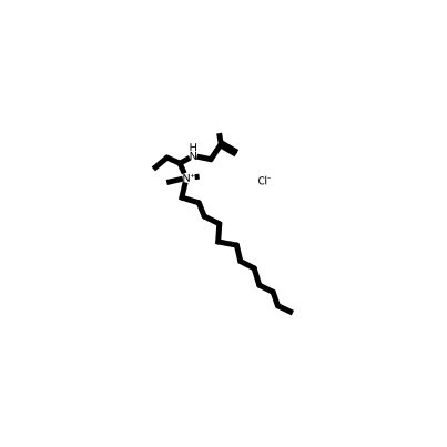 C=C(C)CNC(CC)[N+](C)(C)CCCCCCCCCCCC.[Cl-]